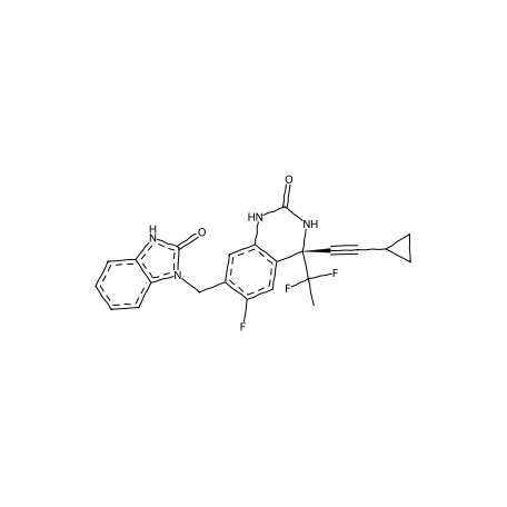 CC(F)(F)[C@@]1(C#CC2CC2)NC(=O)Nc2cc(Cn3c(=O)[nH]c4ccccc43)c(F)cc21